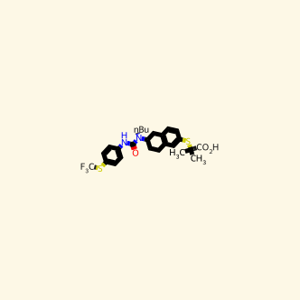 CCCCN(C(=O)Nc1ccc(SC(F)(F)F)cc1)C1CCc2cc(SC(C)(C)C(=O)O)ccc2C1